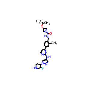 Cc1cc(-c2ccnc(Nc3cnn(C4CCNCC4F)c3)n2)ccc1CNC(=O)N1CC(OC(C)C)C1